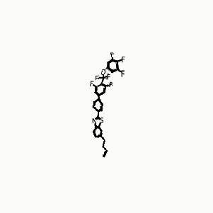 C=CCCc1ccc2nc(-c3ccc(-c4cc(F)c(C(F)(F)Oc5cc(F)c(F)c(F)c5)c(F)c4)cc3)sc2c1